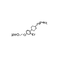 CCCCCC1CCC(c2ccc(OCCOC)cc2CC)CC1